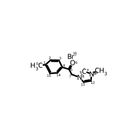 Cc1ccc(C(=O)CN2[C+]N(C)C=C2)cc1.[Br-]